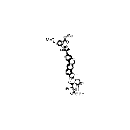 COC[C@H]1C[C@@H](c2ncc(-c3ccc4c(c3)OCc3cc5c(ccc6nc([C@@H]7C[C@@H](C)[C@@H](C)N7C(=O)[C@@H](NC(=O)OC)C(C)C)[nH]c65)cc3-4)[nH]2)N(C(=O)OC(C)(C)C)C1